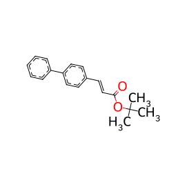 CC(C)(C)OC(=O)C=Cc1ccc(-c2ccccc2)cc1